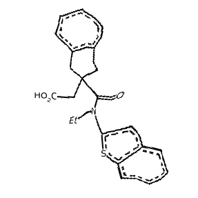 CCN(C(=O)C1(CC(=O)O)Cc2ccccc2C1)c1cc2ccccc2s1